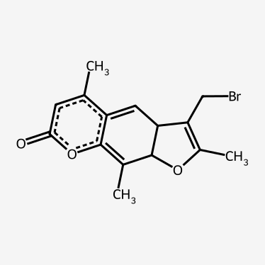 CC1=C(CBr)C2C=c3c(C)cc(=O)oc3=C(C)C2O1